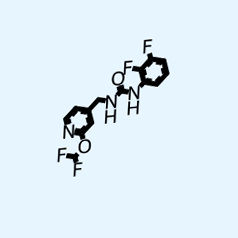 O=C(NCc1ccnc(OC(F)F)c1)Nc1cccc(F)c1F